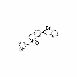 O=C1c2cc(OCc3ccccc3Br)ccc2CCN1Cc1cccnc1